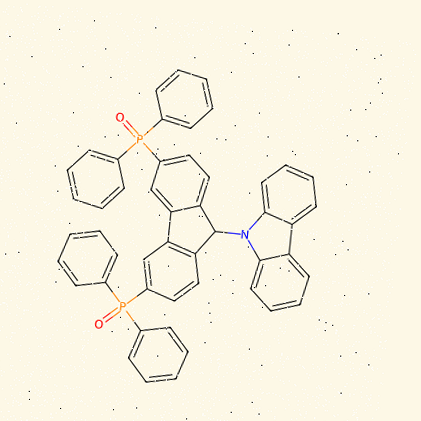 O=P(c1ccccc1)(c1ccccc1)c1ccc2c(c1)-c1cc(P(=O)(c3ccccc3)c3ccccc3)ccc1C2n1c2ccccc2c2ccccc21